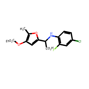 CCOC(=O)Oc1cc(C(Nc2ccc(Cl)cc2F)C(=O)O)oc1C